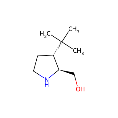 CC(C)(C)[C@H]1CCN[C@@H]1CO